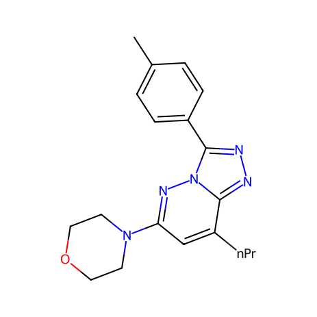 CCCc1cc(N2CCOCC2)nn2c(-c3ccc(C)cc3)nnc12